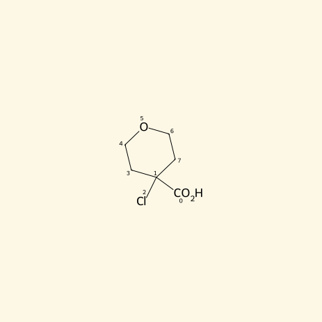 O=C(O)C1(Cl)CCOCC1